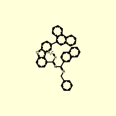 C=N/C(=N\C(=N/Cc1ccccc1)c1ccc2ccccc2c1)c1cccc2oc3ccc(-c4cc5ccccc5c5ccccc45)cc3c12